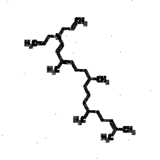 C=CCN(C=CC(C)=CCCC(C)CCCC(C)CCC=C(C)C)CC=C